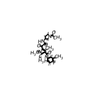 CC(=O)N1CC[C@H](NC(=O)C(=O)c2c(C)c(C(=O)Nc3ccc(F)c(C)c3)c(C)n2C)C1